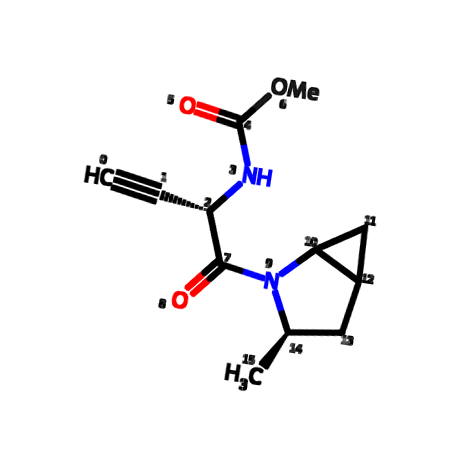 C#C[C@H](NC(=O)OC)C(=O)N1C2CC2C[C@H]1C